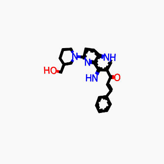 N=c1c(C(=O)/C=C/c2ccccc2)c[nH]c2ccc(N3CCCC(CO)C3)nc12